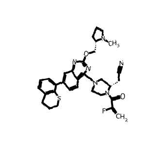 C=C(F)C(=O)N1CCN(c2nc(OC[C@@H]3CCCN3C)nc3cc(-c4cccc5c4SCCC5)ccc23)C[C@@H]1CC#N